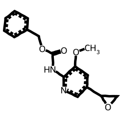 COc1cc(C2CO2)cnc1NC(=O)OCc1ccccc1